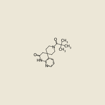 CC(C)(C)C(=O)N1CCC2(CC1)CC(=O)Nc1ncccc12